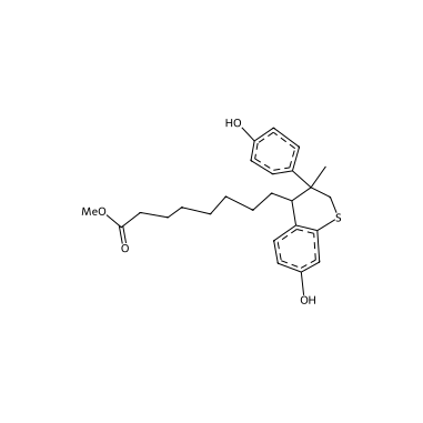 COC(=O)CCCCCCCC1c2ccc(O)cc2SCC1(C)c1ccc(O)cc1